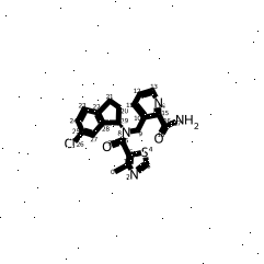 Cc1ncsc1C(=O)N(Cc1cccnc1C(N)=O)[C@@H]1CCc2ccc(Cl)cc21